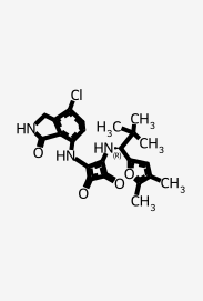 Cc1cc([C@H](Nc2c(Nc3ccc(Cl)c4c3C(=O)NC4)c(=O)c2=O)C(C)(C)C)oc1C